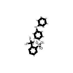 O=S(=O)([O-])c1ccccc1C(F)(F)F.c1ccc([I+]c2ccccc2)cc1